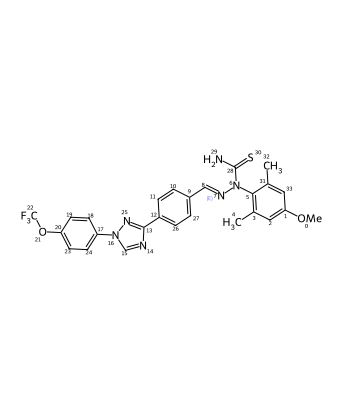 COc1cc(C)c(N(/N=C/c2ccc(-c3ncn(-c4ccc(OC(F)(F)F)cc4)n3)cc2)C(N)=S)c(C)c1